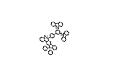 c1ccc(C2(c3ccccc3)c3ccccc3-c3cc4c(-c5ccc(-c6cc(-n7c8ccccc8c8ccccc87)cc(-n7c8ccccc8c8ccccc87)c6)cc5)nc5ccccc5c4cc32)cc1